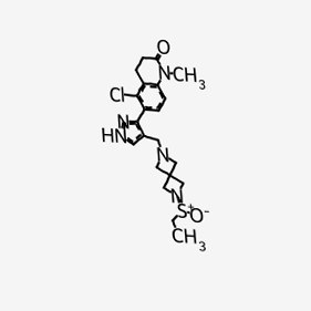 CC[S+]([O-])N1CC2(CN(Cc3c[nH]nc3-c3ccc4c(c3Cl)CCC(=O)N4C)C2)C1